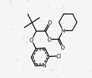 CC(C)(C)C(Oc1ccnc(Cl)c1)C(=O)OC(=O)N1CCCCC1